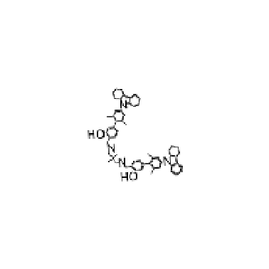 Cc1cc(-n2c3ccccc3c3ccccc32)cc(C)c1-c1ccc(/C=N/CC(C)(C)C/N=C/c2ccc(-c3c(C)cc(-n4c5ccccc5c5ccccc54)cc3C)cc2O)c(O)c1